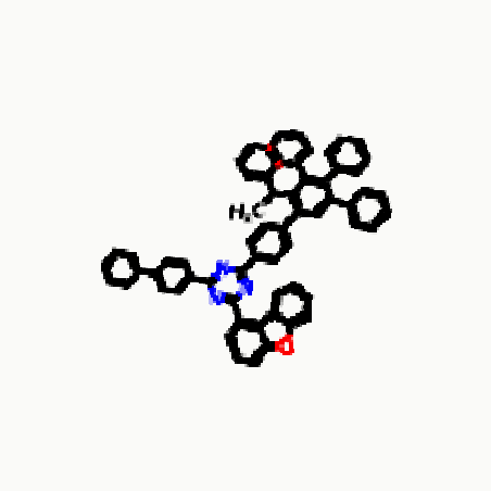 CC(c1ccccc1)c1c(-c2ccc(-c3nc(-c4ccc(-c5ccccc5)cc4)nc(-c4cccc5oc6ccccc6c45)n3)cc2)cc(-c2ccccc2)c(-c2ccccc2)c1-c1ccccc1